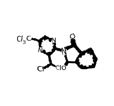 O=C1c2ccccc2C(=O)N1c1ncc(C(Cl)(Cl)Cl)nc1C(Cl)Cl